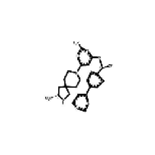 Nc1nc(O[C@H](c2ccc(-c3ccncn3)cc2)C(F)(F)F)cc(N2CCC3(CC2)CN[C@H](C(=O)O)C3)n1